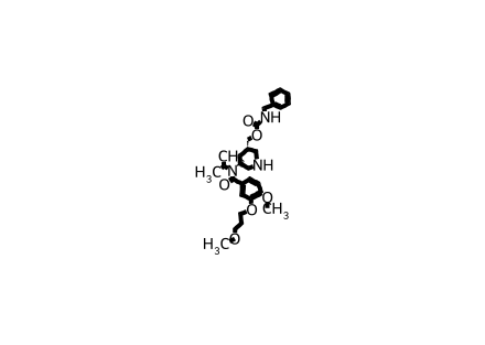 COCCCOc1cc(C(=O)N(C(C)C)[C@H]2CNC[C@@H](COC(=O)NCc3ccccc3)C2)ccc1OC